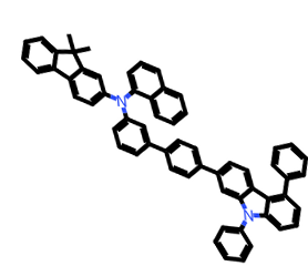 CC1(C)c2ccccc2-c2ccc(N(c3cccc(-c4ccc(-c5ccc6c7c(-c8ccccc8)cccc7n(-c7ccccc7)c6c5)cc4)c3)c3cccc4ccccc34)cc21